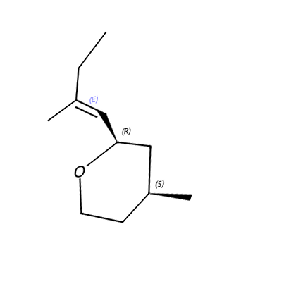 CC/C(C)=C/[C@H]1C[C@@H](C)CCO1